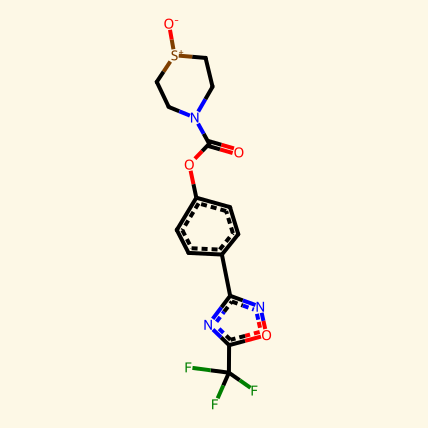 O=C(Oc1ccc(-c2noc(C(F)(F)F)n2)cc1)N1CC[S+]([O-])CC1